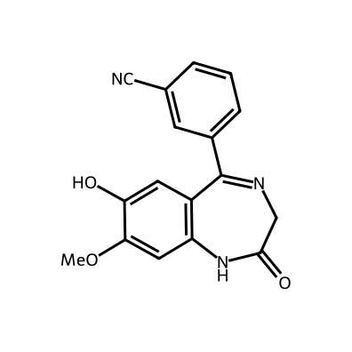 COc1cc2c(cc1O)C(c1cccc(C#N)c1)=NCC(=O)N2